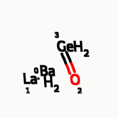 [BaH2].[La].[O]=[GeH2]